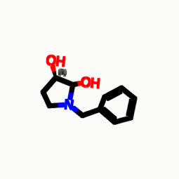 OC1[C@H](O)CCN1Cc1ccccc1